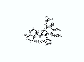 CN=c1c2c(-c3cncn3C)n(Cc3ccnc4c(Cl)cccc34)nc2n(CC2CC2)c(=O)n1C